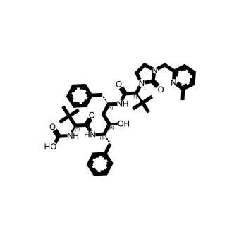 Cc1cccc(CN2CCN([C@H](C(=O)N[C@@H](Cc3ccccc3)C[C@@H](O)[C@H](Cc3ccccc3)NC(=O)[C@@H](NC(=O)O)C(C)(C)C)C(C)(C)C)C2=O)n1